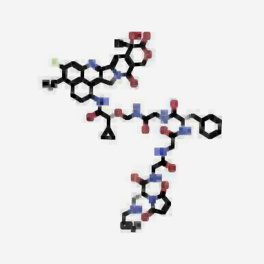 CC[C@@]1(O)C(=O)OCc2c1cc1n(c2=O)Cc2c-1nc1cc(F)c(C)c3c1c2[C@@H](NC(=O)[C@H](OCNC(=O)CNC(=O)[C@H](Cc1ccccc1)NC(=O)CNC(=O)CNC(=O)[C@@H](CNCC(=O)O)N1C(=O)C=CC1=O)C1CC1)CC3